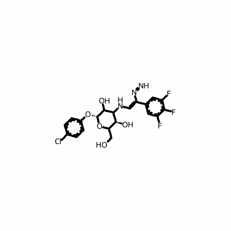 N=N/C(=C\NC1C(O)[C@@H](Oc2ccc(Cl)cc2)OC(CO)[C@@H]1O)c1cc(F)c(F)c(F)c1